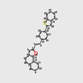 C(=Cc1cc2ccc3ccccc3c2o1)c1ccc(-c2cc3ccccc3s2)cc1